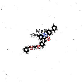 COc1cc(C2CCCCC2)ccc1NC(=O)C(Cc1ccc(OCCCOCc2ccccc2)cc1)c1ccc(C(C)(C)C)cc1